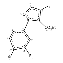 CCOC(=O)c1c(C)noc1-c1ccc(Br)c(F)c1